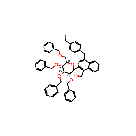 CCc1ccc(Cc2cc3c(c4ccccc24)CO[C@]32O[C@H](COCc3ccccc3)[C@H](OCc3ccccc3)[C@H](OCc3ccccc3)[C@H]2OCc2ccccc2)cc1